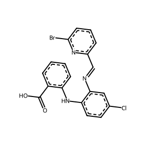 O=C(O)c1ccccc1Nc1ccc(Cl)cc1/N=C/c1cccc(Br)n1